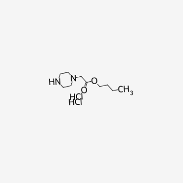 CCCCOC(=O)CN1CCNCC1.Cl.Cl